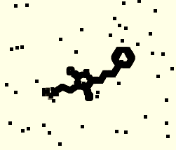 NCCN1C(=O)S/C(=C\C=C\c2ccccc2)C1=O